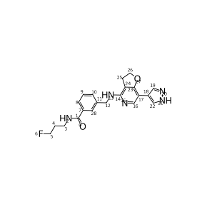 O=C(NCCCF)c1cccc(CNc2ncc(-c3cn[nH]c3)c3c2CCO3)c1